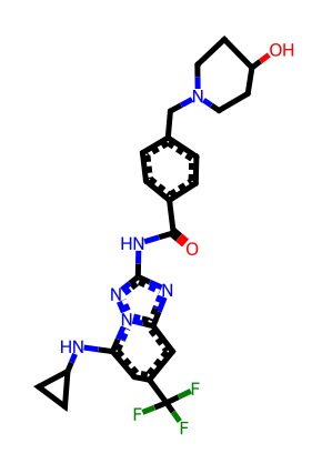 O=C(Nc1nc2cc(C(F)(F)F)cc(NC3CC3)n2n1)c1ccc(CN2CCC(O)CC2)cc1